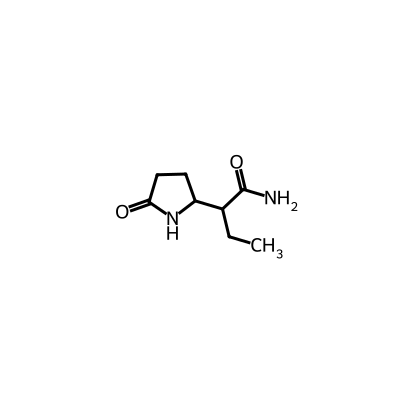 CCC(C(N)=O)C1CCC(=O)N1